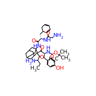 CCC(N)C(=O)C1(C(=O)[C@H](Cc2ccc(O)cc2)NC(=O)OC(C)(C)C)C2CC3CC(C2)CC1(NC(=O)[C@H](CC1C=CC=CC1)NC(=O)CN)C3